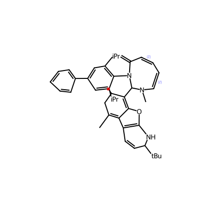 C=C1/C=C\C=C/N(C)C(C2=c3oc4c(c3=C(C)CC2C)C=CC(C(C)(C)C)N4)N1c1c(C(C)C)cc(-c2ccccc2)cc1C(C)C